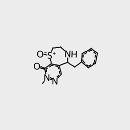 Cn1ncc2c(c1=O)[S+]([O-])CCNC2Cc1ccccc1